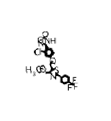 COCc1nc(-c2ccc(C(F)(F)F)cc2)sc1COc1ccc(-c2noc(=O)[nH]2)c(Cl)c1